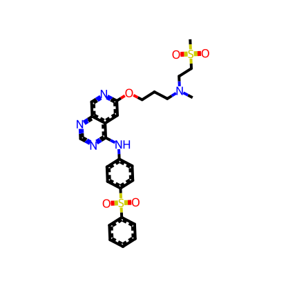 CN(CCCOc1cc2c(Nc3ccc(S(=O)(=O)c4ccccc4)cc3)ncnc2cn1)CCS(C)(=O)=O